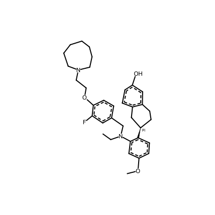 CCN(Cc1ccc(OCCN2CCCCCCC2)c(F)c1)c1cc(OC)ccc1[C@@H]1CCc2cc(O)ccc2C1